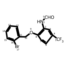 O=CNc1cc(C(F)(F)F)ccc1OCc1ccccc1Br